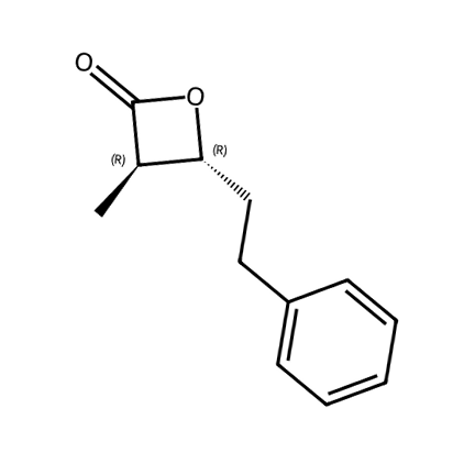 C[C@H]1C(=O)O[C@@H]1CCc1ccccc1